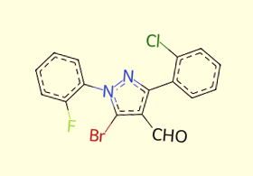 O=Cc1c(-c2ccccc2Cl)nn(-c2ccccc2F)c1Br